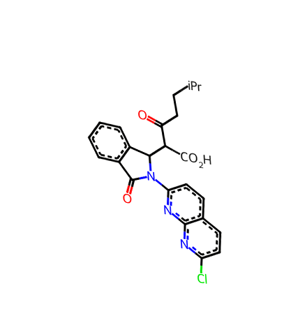 CC(C)CCC(=O)C(C(=O)O)C1c2ccccc2C(=O)N1c1ccc2ccc(Cl)nc2n1